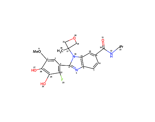 COc1cc(-c2nc3ccc(C(=O)NC(C)C)cc3n2C2(C)COC2)c(F)c(O)c1O